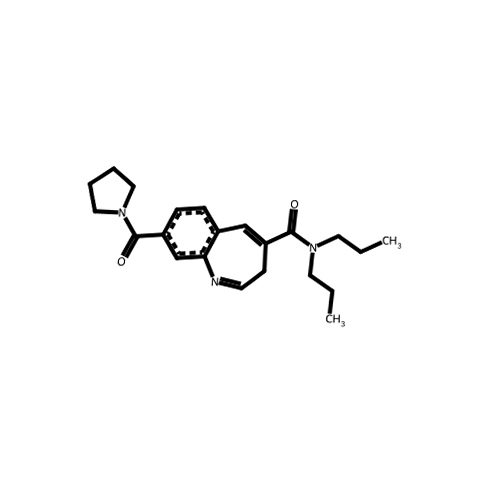 CCCN(CCC)C(=O)C1=Cc2ccc(C(=O)N3CCCC3)cc2N=CC1